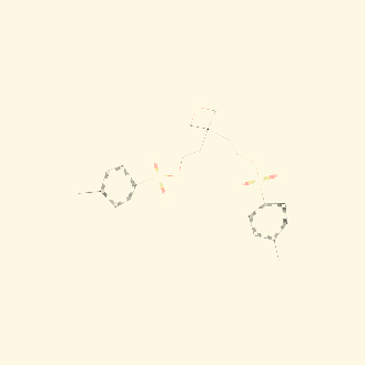 Cc1ccc(S(=O)(=O)OCCC2(CCOS(=O)(=O)c3ccc(C)cc3)COC2)cc1